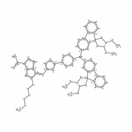 CCCCCCc1nn2c(C(=O)O)nnc2/c1=C\c1ccc(-c2ccc(N(c3ccc4c(c3)C(CCCC)(CCCC)c3ccccc3-4)c3ccc4c(c3)C(CCCC)(CCCC)c3ccccc3-4)cc2)s1